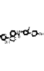 O=C(Nc1ccc(N2CCC(O)CC2)c(F)c1)c1cccc2c1OCCN2c1ncccc1O